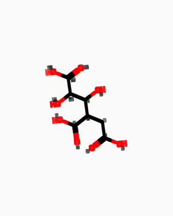 O=C(O)CC(C(=O)O)C(O)C(O)C(=O)O